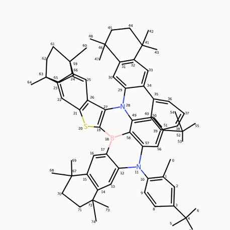 Cc1cc(C(C)(C)C)ccc1N1c2cc3c(cc2B2c4sc5cc6c(cc5c4N(c4cc5c(cc4-c4ccccc4)C(C)(C)CCC5(C)C)c4cc(C(C)(C)C)cc1c42)C1(C)CCC6(C)CC1)C(C)(C)CCC3(C)C